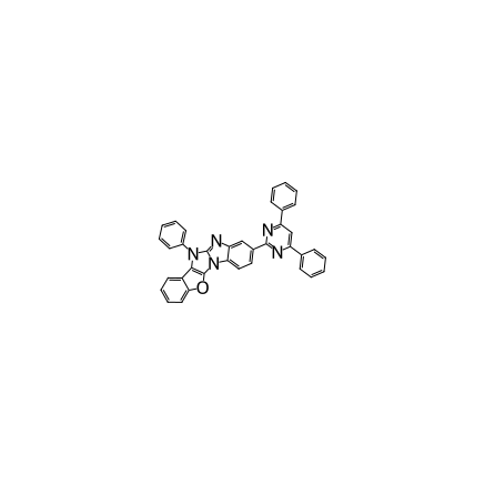 c1ccc(-c2cc(-c3ccccc3)nc(-c3ccc4c(c3)nc3n(-c5ccccc5)c5c6ccccc6oc5n43)n2)cc1